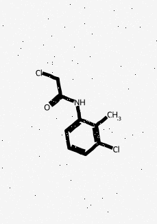 Cc1c(Cl)cccc1NC(=O)CCl